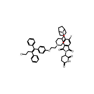 O=C1CCC(N2C(=O)c3cc(F)c(N4CC5CCC(C4)N5CC4CCN(CCOc5ccc(C(=C(CCCl)c6ccccc6)c6ccccc6)cc5)CC4)cc3C2=O)C(=O)N1